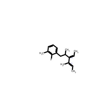 C/C=C(P)/C(=C/C)C(C)Cc1cccc(C)c1F